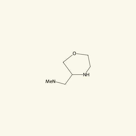 CNCC1COCCN1